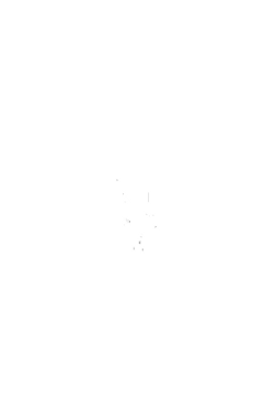 CCC[C@](CSC(C)(C)C)(C(=O)O)C(=O)OCC